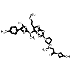 CCCCOCCc1nc2sc(N3CC[C@@H](N(C)CC(=O)N4CC(O)C4)C3)nn2c1N(C)c1nc(-c2ccc(C)cc2)c(C#N)s1